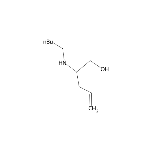 C=CC[C](CO)NCCCCC